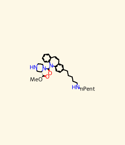 CCCCCNCCCCCc1ccc2c(c1)C=Cc1ccccc1N2C(=O)N1CCNC[C@H]1C(=O)OC